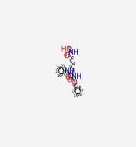 O=C(CCCCCC(NC(=O)OCc1ccccc1)C(=O)Nc1ccccc1)NO